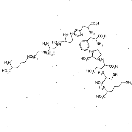 NC(CCC(=O)O)C(=O)O.NC(CO)C(=O)O.NC(CS)C(=O)O.NC(Cc1c[nH]cn1)C(=O)O.NC(Cc1ccccc1)C(=O)O.NCC(=O)O.NCCCCC(N)C(=O)O.NCCCCC(N)C(=O)O.O=C(O)[C@@H]1CCCN1.O=C(O)[C@@H]1CCCN1